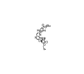 CC(C)(C)OC(=O)N1C[C@@H]2C[C@H]1CN2c1ccc2ncc(C#N)c(Nc3ccc(OCC4CC4)c(Cl)c3F)c2n1